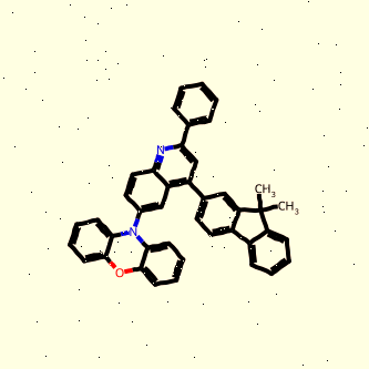 CC1(C)c2ccccc2-c2ccc(-c3cc(-c4ccccc4)nc4ccc(N5c6ccccc6Oc6ccccc65)cc34)cc21